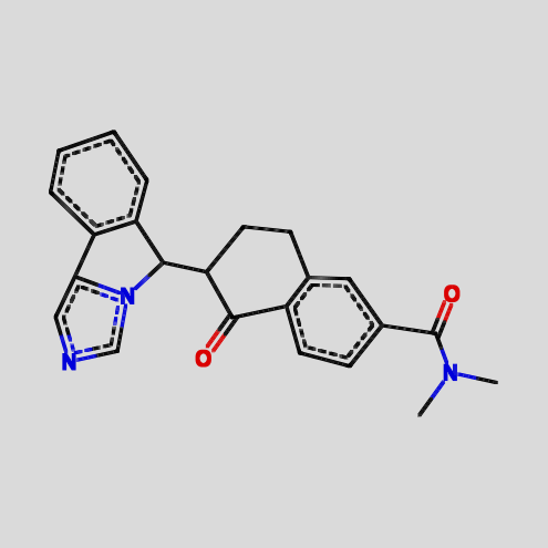 CN(C)C(=O)c1ccc2c(c1)CCC(C1c3ccccc3-c3cncn31)C2=O